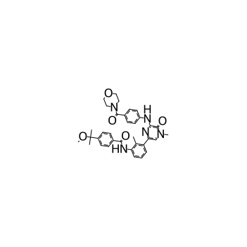 COC(C)(C)c1ccc(C(=O)Nc2cccc(-c3cn(C)c(=O)c(Nc4ccc(C(=O)N5CCOCC5)cc4)n3)c2C)cc1